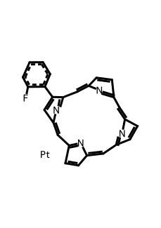 Fc1ccccc1C1=CC2=CC3=NC(=CC4=NC(=CC5=NC(=CC1=N2)C=C5)C=C4)C=C3.[Pt]